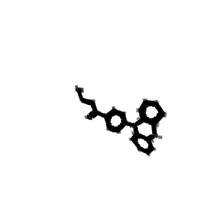 O=C(C=CO)c1ccc(N2c3ccccc3Oc3ccccc32)cc1